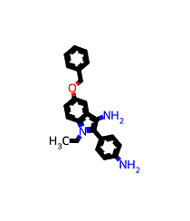 CCn1c(-c2ccc(N)cc2)c(N)c2cc(OCc3ccccc3)ccc21